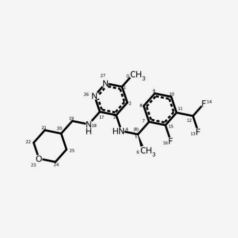 Cc1cc(N[C@H](C)c2cccc(C(F)F)c2F)c(NCC2CCOCC2)nn1